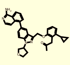 CC(=O)Cc1c(OCc2nn(C3CCOC3)c3ccc(-c4cccc5c(N)nccc45)cc23)cccc1C1CC1